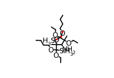 CCCCOC([SiH3])(OCC)C(C)(OCC)C(N)C(C)(OCC)C([SiH3])(OCC)OCCCC